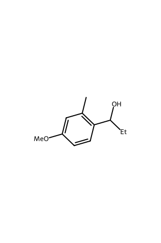 CCC(O)c1ccc(OC)cc1C